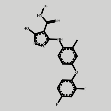 Cc1cc(Oc2ccc(F)cc2Cl)ccc1Nc1snc(O)c1C(=N)NC(C)C